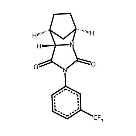 O=C1[C@@H]2[C@H]3CC[C@H](C3)N2C(=O)N1c1cccc(C(F)(F)F)c1